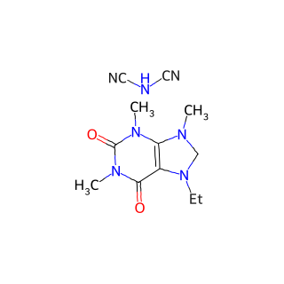 CCN1CN(C)c2c1c(=O)n(C)c(=O)n2C.N#CNC#N